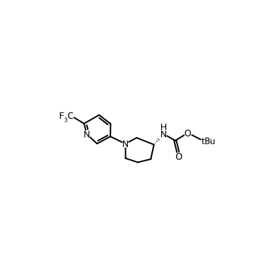 CC(C)(C)OC(=O)N[C@@H]1CCCN(c2ccc(C(F)(F)F)nc2)C1